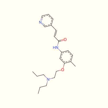 CCCN(CCC)CCOc1cc(NC(=O)C=Cc2cccnc2)ccc1C